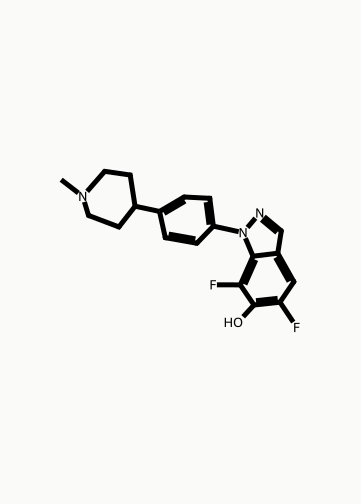 CN1CCC(c2ccc(-n3ncc4cc(F)c(O)c(F)c43)cc2)CC1